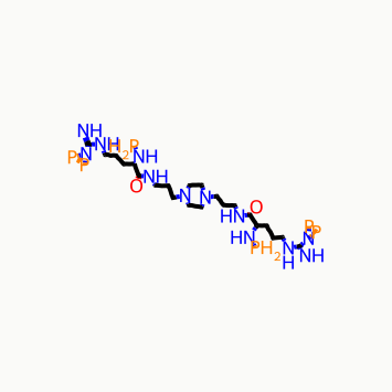 N=C(NCCCC(NP)C(=O)NCCCN1CCN(CCCNC(=O)C(CCCNC(=N)N2P=P2)NP)CC1)N1P=P1